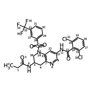 CCC(=O)NC1Cc2ncc(NC(=O)c3c(Cl)cccc3Cl)cc2N(S(=O)(=O)c2cccc(C(F)(F)F)c2)C1